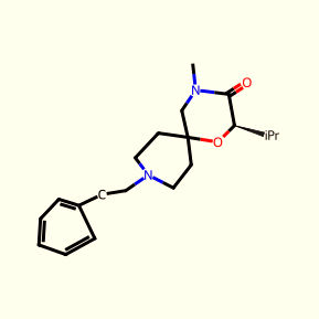 CC(C)[C@H]1OC2(CCN(CCc3ccccc3)CC2)CN(C)C1=O